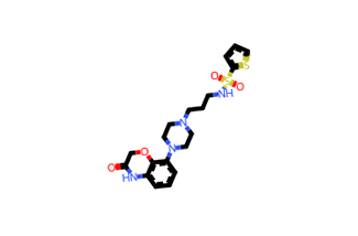 O=C1COc2c(cccc2N2CCN(CCCNS(=O)(=O)c3cccs3)CC2)N1